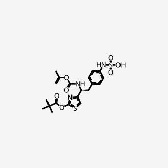 C=C(C)OC(=O)N[C@@H](Cc1ccc(NS(=O)(=O)O)cc1)c1csc(OC(=O)C(C)(C)C)n1